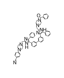 N#Cc1ccc(N2CCN(Cc3nc(-c4ccccc4)c(-c4cccc(-c5cccc(-c6nc(CN7CCN(C(=O)c8ccccc8)CC7)[nH]c6-c6ccccc6)c5)c4)[nH]3)CC2)cc1